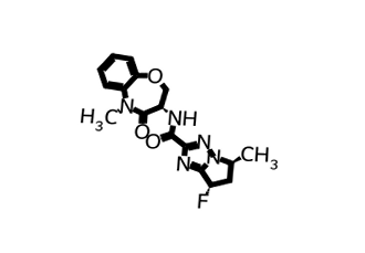 C[C@H]1C[C@H](F)c2nc(C(=O)N[C@H]3COc4ccccc4N(C)C3=O)nn21